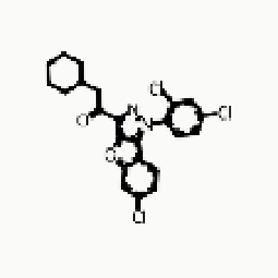 O=C(CC1CCCCC1)c1nn(-c2ccc(Cl)cc2Cl)c2c1oc1cc(Cl)ccc12